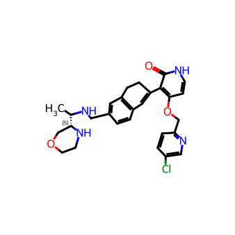 CC(NCc1ccc2c(c1)CCC(c1c(OCc3ccc(Cl)cn3)cc[nH]c1=O)=C2)[C@H]1COCCN1